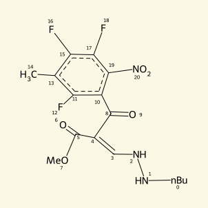 CCCCNN/C=C(/C(=O)OC)C(=O)c1c(F)c(C)c(F)c(F)c1[N+](=O)[O-]